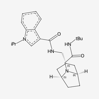 CC(C)n1cc(C(=O)NC[C@@H]2C[C@H]3CC[C@@H](C2)N3CC(=O)NC(C)(C)C)c2ccccc21